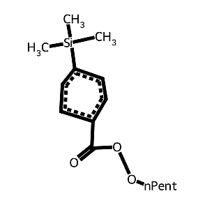 [CH2]CCCCOOC(=O)c1ccc([Si](C)(C)C)cc1